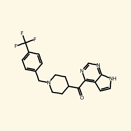 O=C(c1ncnc2[nH]ccc12)C1CCN(Cc2ccc(C(F)(F)F)cc2)CC1